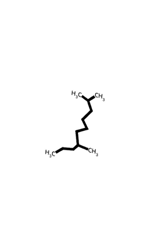 C[CH]CC(C)CCCCC(C)C